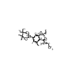 Cc1cc(B2OC(C)(C)C(C)(C)O2)cc(OSF)c1C(=O)NCC(F)(F)F